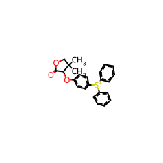 CC1(C)COC(=O)C1Oc1ccc([S+](c2ccccc2)c2ccccc2)cc1